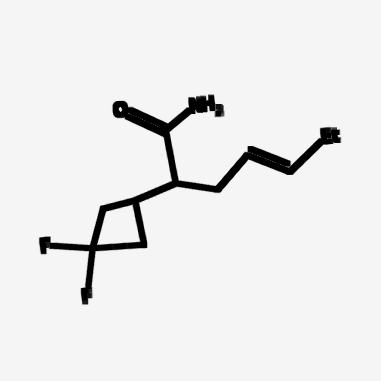 CCC=CCC(C(N)=O)C1CC(F)(F)C1